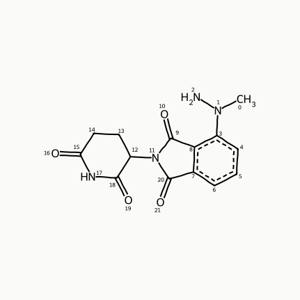 CN(N)c1cccc2c1C(=O)N(C1CCC(=O)NC1=O)C2=O